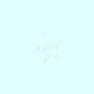 CC1(C)c2ccccc2C2=CC=C(c3c4cc(N5CCCc6ccccc65)ccc4c(-c4cc(-c5ccccc5)cc(-c5ccccc5)c4)c4cc(N5CCCc6ccccc65)ccc34)CC21